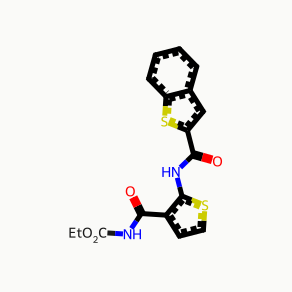 CCOC(=O)NC(=O)c1ccsc1NC(=O)c1cc2ccccc2s1